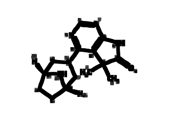 CC1(C)C(=O)Nc2ncnc(N3C[C@H]4CC[C@@H](C3)N4)c21